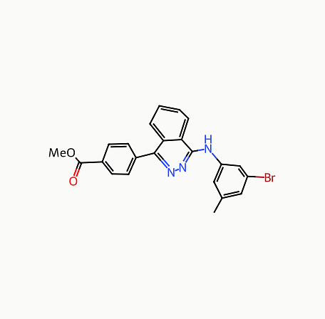 COC(=O)c1ccc(-c2nnc(Nc3cc(C)cc(Br)c3)c3ccccc23)cc1